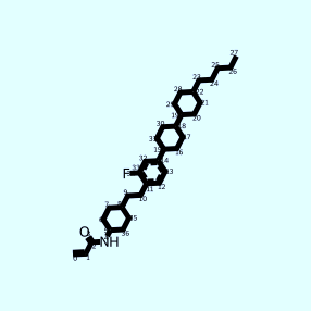 C=CC(=O)NC1CCC(CCc2ccc(C3CCC(C4CCC(CCCCC)CC4)CC3)cc2F)CC1